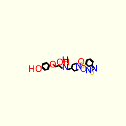 O=S(=O)(c1cccc2nsnc12)N1CCC(CNC[C@@H](O)COc2ccc(O)cc2)CC1